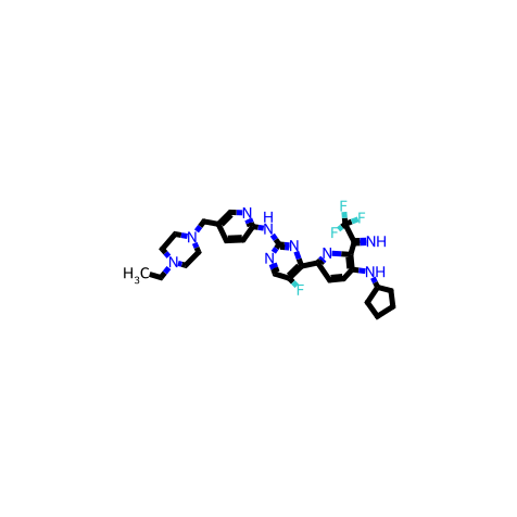 CCN1CCN(Cc2ccc(Nc3ncc(F)c(-c4ccc(NC5CCCC5)c(C(=N)C(F)(F)F)n4)n3)nc2)CC1